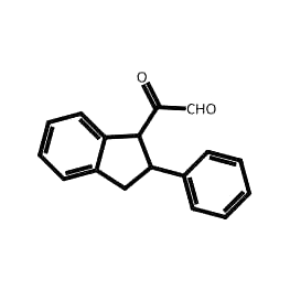 O=CC(=O)C1c2ccccc2CC1c1ccccc1